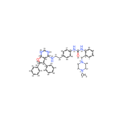 CN1CCN(Cc2ccccc2NC(=O)Nc2ccc(CCNc3ncnc4oc(-c5ccccc5)c(-c5ccccc5)c34)cc2)CC1